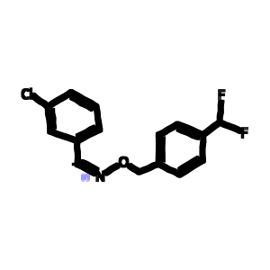 FC(F)c1ccc(CO/N=[C]\c2cccc(Cl)c2)cc1